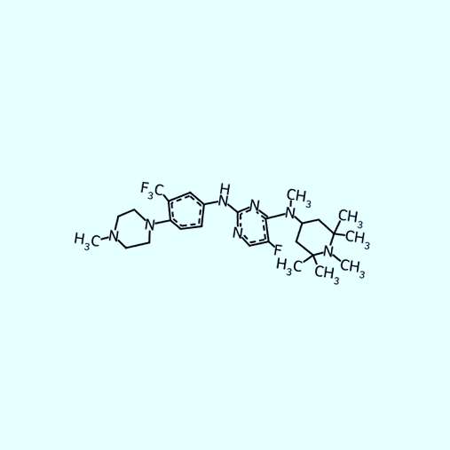 CN1CCN(c2ccc(Nc3ncc(F)c(N(C)C4CC(C)(C)N(C)C(C)(C)C4)n3)cc2C(F)(F)F)CC1